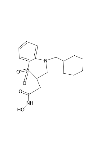 O=C(CC1CN(CC2CCCCC2)c2ccccc2S1(=O)=O)NO